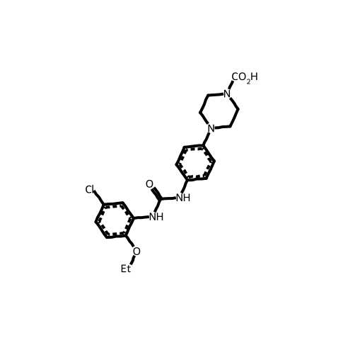 CCOc1ccc(Cl)cc1NC(=O)Nc1ccc(N2CCN(C(=O)O)CC2)cc1